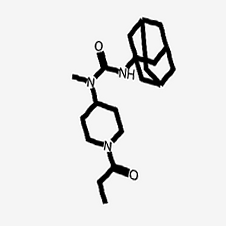 CCC(=O)N1CCC(N(C)C(=O)NC23CC4CC(CC(C4)C2)C3)CC1